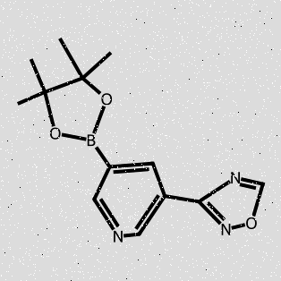 CC1(C)OB(c2cncc(-c3ncon3)c2)OC1(C)C